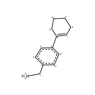 NCc1ccc(C2=CCCCC2)cc1